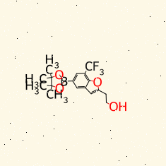 CC1(C)OB(c2cc(C(F)(F)F)c3oc(CCO)cc3c2)OC1(C)C